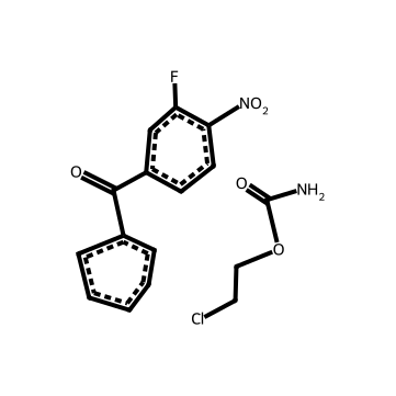 NC(=O)OCCCl.O=C(c1ccccc1)c1ccc([N+](=O)[O-])c(F)c1